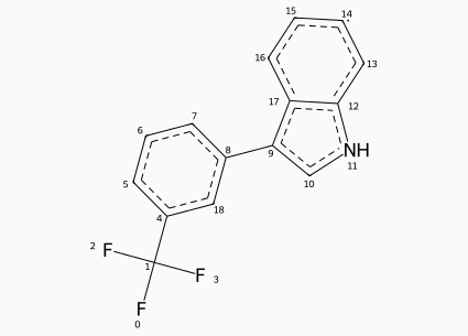 FC(F)(F)c1cccc(-c2c[nH]c3c[c]ccc23)c1